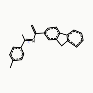 C=C(/N=C(\C)c1ccc(C)cc1)c1ccc2c(c1)Cc1ccccc1-2